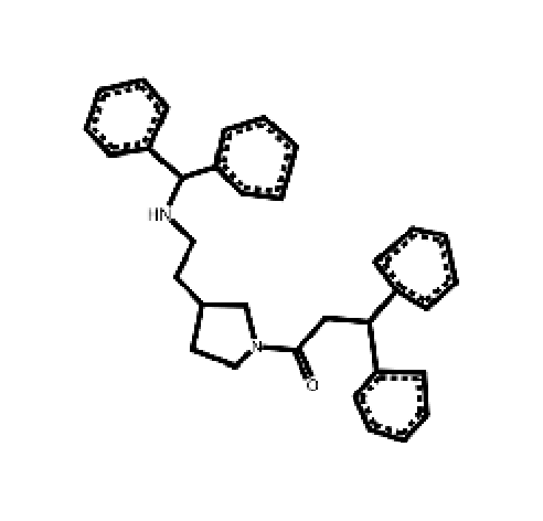 O=C(CC(c1ccccc1)c1ccccc1)N1CCC(CCNC(c2ccccc2)c2ccccc2)C1